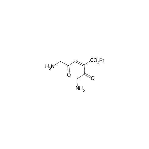 CCOC(=O)C(=CC(=O)CN)C(=O)CN